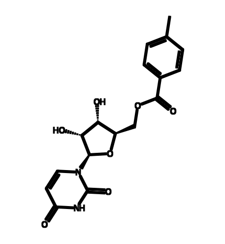 Cc1ccc(C(=O)OC[C@H]2O[C@@H](n3ccc(=O)[nH]c3=O)[C@H](O)[C@@H]2O)cc1